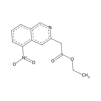 CCOC(=O)Cc1cc2c([N+](=O)[O-])cccc2cn1